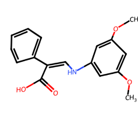 COc1cc(NC=C(C(=O)O)c2ccccc2)cc(OC)c1